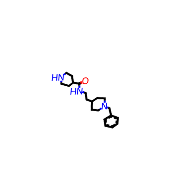 O=C(NCCC1CCN(Cc2ccccc2)CC1)C1CCNCC1